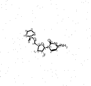 C[C@H]1[C@@H](F)[C@H](n2ccc(N)nc2=O)O[C@@H]1COP1(=S)SCCS1